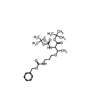 CC(OCCCNC(=O)OCc1ccccc1)C(NC(=O)OC(C)(C)C)C(=O)OC(C)(C)C